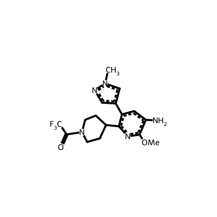 COc1nc(C2CCN(C(=O)C(F)(F)F)CC2)c(-c2cnn(C)c2)cc1N